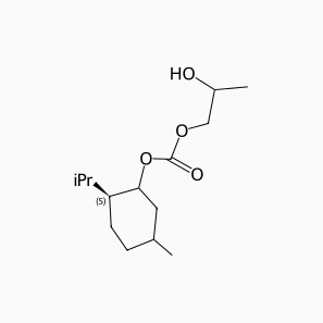 CC(O)COC(=O)OC1CC(C)CC[C@H]1C(C)C